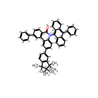 CC1(C)c2ccc(-c3ccc4c(c3)c3cc(-c5ccccc5)ccc3c(=O)n4-c3c4ccccc4c(-c4ccccc4)c4ccccc34)cc2C(C)(C)C1(C)C